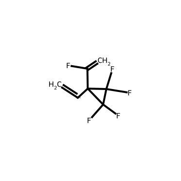 C=[C]C1(C(=C)F)C(F)(F)C1(F)F